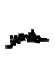 CO[C@H]1CC[C@](OC)(c2cc(F)cc(OCc3ccc(N(C)C(=O)NCCCO)cc3)c2)CC1